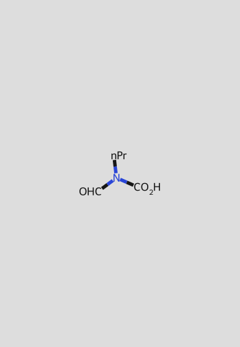 CCCN(C=O)C(=O)O